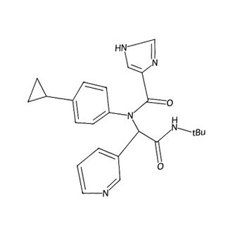 CC(C)(C)NC(=O)C(c1cccnc1)N(C(=O)c1c[nH]cn1)c1ccc(C2CC2)cc1